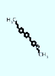 CCCCCc1ccc(-c2ccc(CCc3ccc(OCCCC)cc3)cc2)cc1